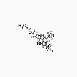 COCCO[C@H]1CC[C@H](NC(=O)c2cc(-n3ccnc3)cc3c(C(N)=O)c[nH]c23)CC1